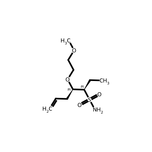 C=CC[C@@H](OCCOC)[C@@H](CC)S(N)(=O)=O